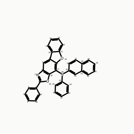 c1ccc(-c2nc3cc4c(oc5ccccc54)c(N(c4ccccc4)c4ccc5ccccc5c4)c3o2)cc1